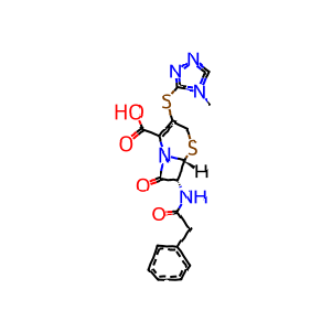 Cn1cnnc1SC1=C(C(=O)O)N2C(=O)[C@@H](NC(=O)Cc3ccccc3)[C@H]2SC1